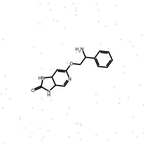 NC(COC1=CC2NC(=O)NC2C=N1)c1ccccc1